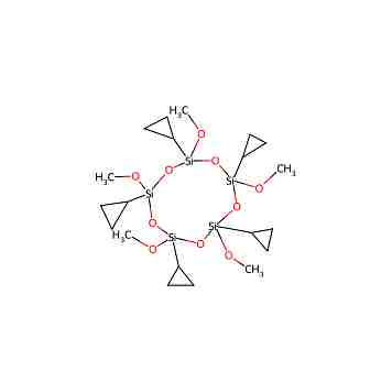 CO[Si]1(C2CC2)O[Si](OC)(C2CC2)O[Si](OC)(C2CC2)O[Si](OC)(C2CC2)O[Si](OC)(C2CC2)O1